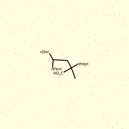 CCCCCCCCCCC(CCCCC)CC(C)(CCCCCCC)C(=O)O